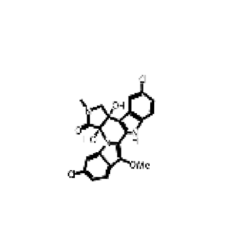 COc1c2n(c3cc(Cl)ccc13)[C@]1(O)C(=O)N(C)C[C@]1(O)c1c-2[nH]c2ccc(Cl)cc12